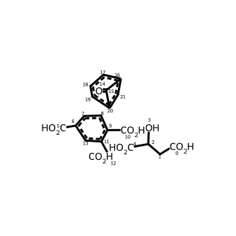 O=C(O)CC(O)C(=O)O.O=C(O)c1ccc(C(=O)O)c(C(=O)O)c1.O=C1c2cccc1c2